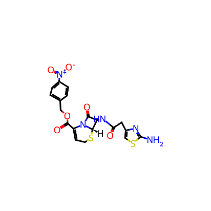 Nc1nc(CC(=O)NC2C(=O)N3C(C(=O)OCc4ccc([N+](=O)[O-])cc4)=CCS[C@@H]23)cs1